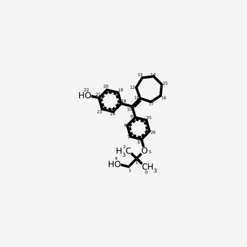 CC(C)(CO)Oc1ccc(C(=C2CCCCCC2)c2ccc(O)cc2)cc1